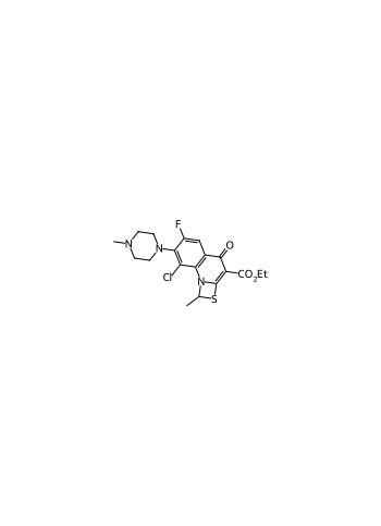 CCOC(=O)c1c2n(c3c(Cl)c(N4CCN(C)CC4)c(F)cc3c1=O)C(C)S2